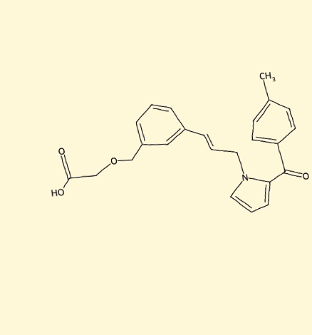 Cc1ccc(C(=O)c2cccn2CC=Cc2cccc(COCC(=O)O)c2)cc1